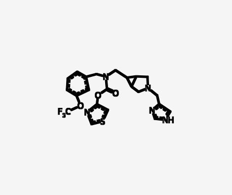 O=C(Oc1cscn1)N(Cc1cccc(OC(F)(F)F)c1)CC1C2CN(Cc3c[nH]cn3)CC21